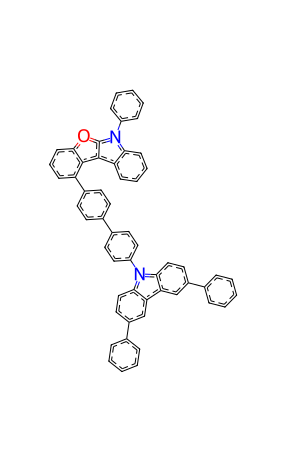 c1ccc(-c2ccc3c(c2)c2cc(-c4ccccc4)ccc2n3-c2ccc(-c3ccc(-c4cccc5oc6c(c7ccccc7n6-c6ccccc6)c45)cc3)cc2)cc1